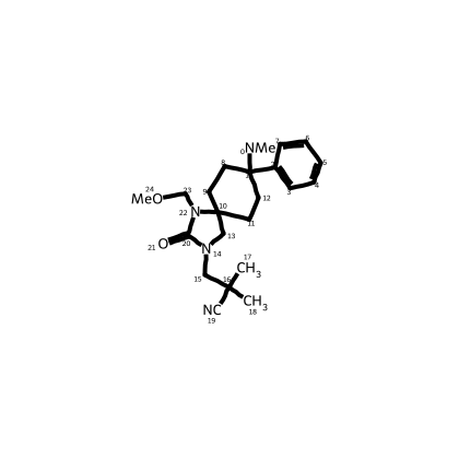 CNC1(c2ccccc2)CCC2(CC1)CN(CC(C)(C)C#N)C(=O)N2COC